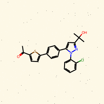 CC(=O)c1ccc(-c2ccc(-c3cc(C(C)(C)O)nn3-c3ccccc3Cl)cc2)s1